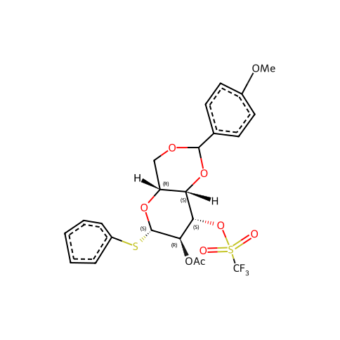 COc1ccc(C2OC[C@H]3O[C@@H](Sc4ccccc4)[C@H](OC(C)=O)[C@@H](OS(=O)(=O)C(F)(F)F)[C@H]3O2)cc1